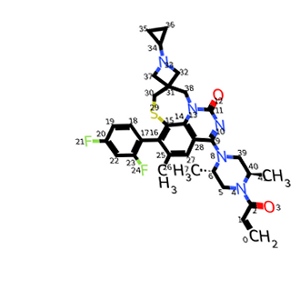 C=CC(=O)N1C[C@H](C)N(c2nc(=O)n3c4c(c(-c5ccc(F)cc5F)c(C)cc24)SCC2(CN(C4CC4)C2)C3)C[C@H]1C